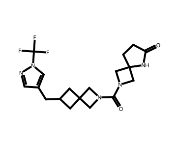 O=C1CCC2(CN(C(=O)N3CC4(CC(Cc5cnn(C(F)(F)F)c5)C4)C3)C2)N1